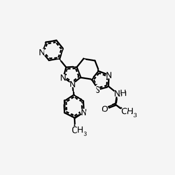 CC(=O)Nc1nc2c(s1)-c1c(c(-c3cccnc3)nn1-c1ccc(C)nc1)CC2